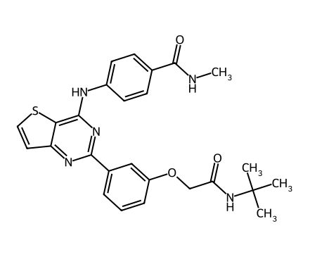 CNC(=O)c1ccc(Nc2nc(-c3cccc(OCC(=O)NC(C)(C)C)c3)nc3ccsc23)cc1